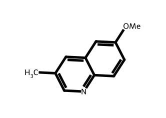 COc1ccc2ncc(C)cc2c1